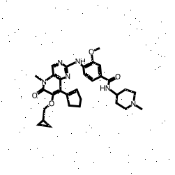 COc1cc(C(=O)NC2CCN(C)CC2)ccc1Nc1ncc2c(n1)c(C1=CCCC1)c(OCC1CC1)c(=O)n2C